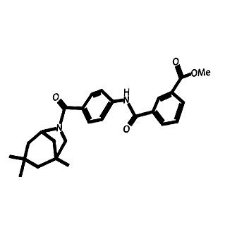 COC(=O)c1cccc(C(=O)Nc2ccc(C(=O)N3CC4(C)CC3CC(C)(C)C4)cc2)c1